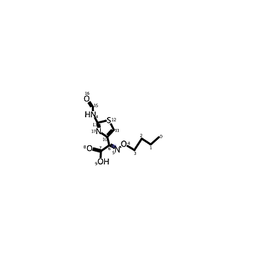 CCCCO/N=C(/C(=O)O)c1csc(NC=O)n1